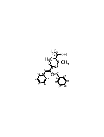 CC([C@H](C)OC(=O)C(=Cc1ccccc1)OCc1ccccc1)[C@@H](C)O